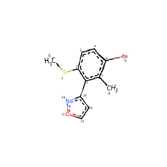 CSc1ccc(Br)c(C)c1-c1ccon1